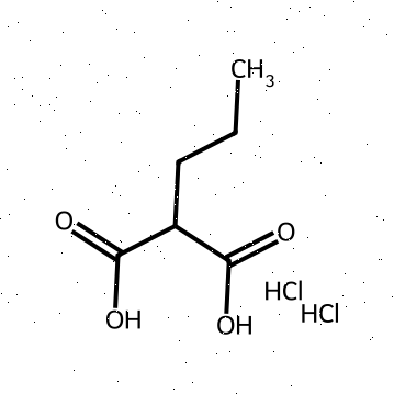 CCCC(C(=O)O)C(=O)O.Cl.Cl